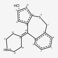 Cl.c1ccc2c(c1)CSc1sccc1C2=C1CCNCC1